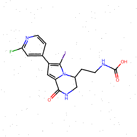 O=C(O)NCCC1CNC(=O)c2cc(-c3ccnc(F)c3)c(I)n21